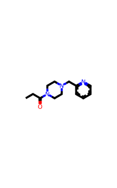 CCC(=O)N1CCN(Cc2ccccn2)CC1